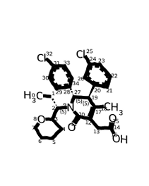 CC[C@@H](C1CCCCO1)N1C(=O)C(CC(=O)O)=C(C)[C@H](c2cccc(Cl)c2)[C@H]1c1ccc(Cl)cc1